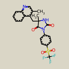 Cc1cnc2ccccc2c1CC1(C)NC(=O)N(c2ccc(S(=O)(=O)C(F)(F)F)cc2)C1=O